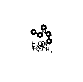 CC1(C)OB(c2cccc(-c3cccc(N(c4ccccc4)c4cccc(-c5ccccc5)c4)c3)c2)OC1(C)C